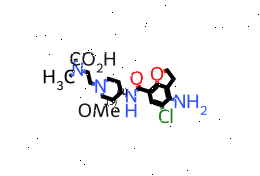 CO[C@H]1CN(CCN(C)C(=O)O)CC[C@H]1NC(=O)c1cc(Cl)c(N)c2c1OCC2